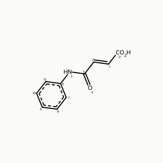 O=C(O)C=CC(=O)Nc1ccccc1